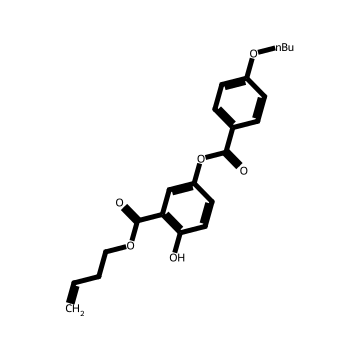 C=CCCOC(=O)c1cc(OC(=O)c2ccc(OCCCC)cc2)ccc1O